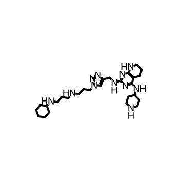 c1c(CNc2nc3c(c(NC4CCNCC4)n2)CCCN3)nnn1CCCNCCCNC1CCCCC1